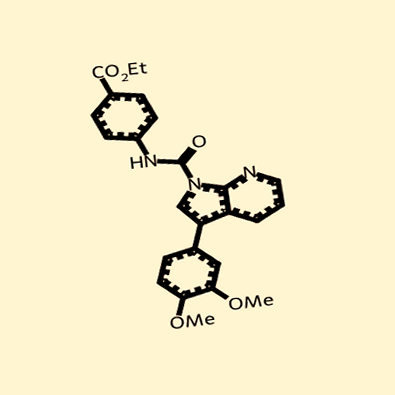 CCOC(=O)c1ccc(NC(=O)n2cc(-c3ccc(OC)c(OC)c3)c3cccnc32)cc1